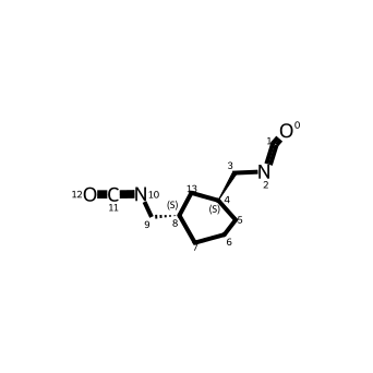 O=C=NC[C@H]1CCC[C@H](CN=C=O)C1